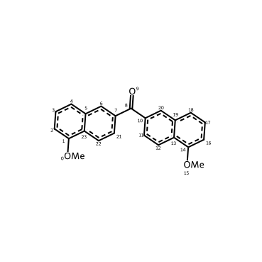 COc1cccc2cc(C(=O)c3ccc4c(OC)cccc4c3)ccc12